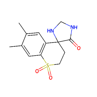 Cc1cc2c(cc1C)S(=O)(=O)CCC21NCNC1=O